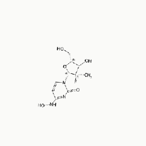 C[C@@]1(F)C(O)[C@@H](CO)O[C@H]1n1ccc(NO)nc1=O